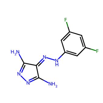 NC1=NN=C(N)C1=NNc1cc(F)cc(F)c1